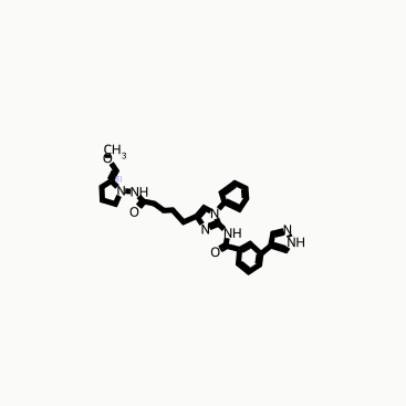 CO/C=C1\CCCN1NC(=O)CCCCc1cn(-c2ccccc2)c(NC(=O)c2cccc(-c3cn[nH]c3)c2)n1